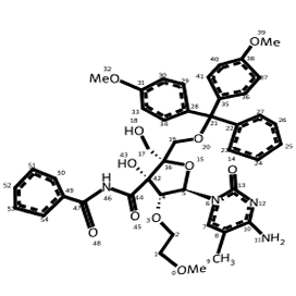 COCCO[C@H]1[C@H](n2cc(C)c(N)nc2=O)O[C@](CO)(COC(c2ccccc2)(c2ccc(OC)cc2)c2ccc(OC)cc2)[C@]1(O)C(=O)NC(=O)c1ccccc1